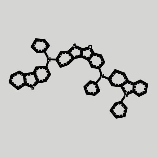 c1ccc(N(c2ccc3c(c2)sc2oc4ccc(N(c5ccccc5)c5ccc6c7ccccc7n(-c7ccccc7)c6c5)cc4c23)c2ccc3sc4ccccc4c3c2)cc1